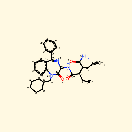 C=CC[C@H](C(N)=O)[C@@H](CC(C)C)C(=O)NC1N=C(c2ccccc2)c2ccccc2N(CC2CCCCC2)C1=O